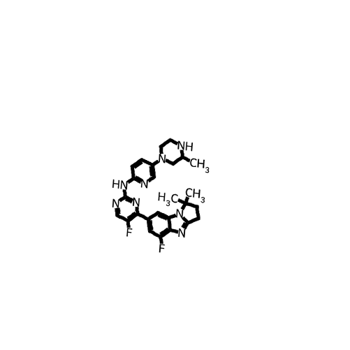 CC1CN(c2ccc(Nc3ncc(F)c(-c4cc(F)c5nc6n(c5c4)C(C)(C)CC6)n3)nc2)CCN1